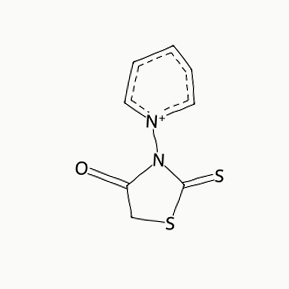 O=C1CSC(=S)N1[n+]1ccccc1